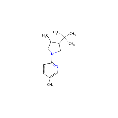 Cc1ccc(N2CC(C)C(C(C)(C)C)C2)nc1